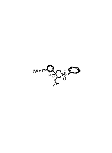 COc1cccc(C2(O)CCN(S(=O)(=O)Cc3ccccc3)CC2CN(C)C)c1